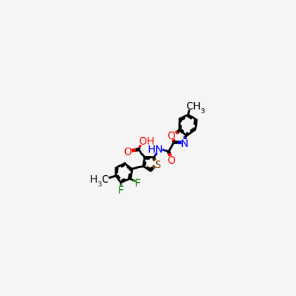 Cc1ccc2nc(C(=O)Nc3scc(-c4ccc(C)c(F)c4F)c3C(=O)O)oc2c1